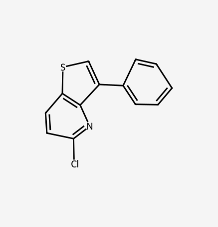 Clc1ccc2scc(-c3ccccc3)c2n1